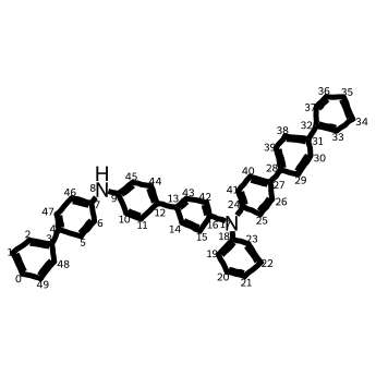 c1ccc(-c2ccc(Nc3ccc(-c4ccc(N(c5ccccc5)c5ccc(-c6ccc(-c7ccccc7)cc6)cc5)cc4)cc3)cc2)cc1